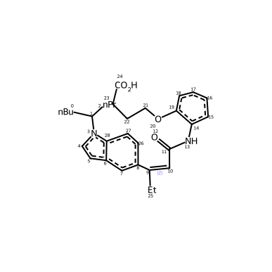 CCCCC(CCC)n1ccc2cc(/C(=C\C(=O)Nc3ccccc3OCCCC(=O)O)CC)ccc21